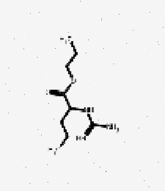 CCCOC(=O)C(CCC)NC(=N)N